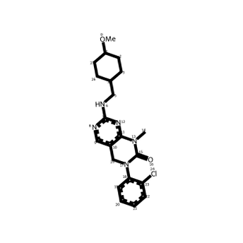 COC1CCC(CNc2ncc3c(n2)N(C)C(=O)N(c2ccccc2Cl)C3)CC1